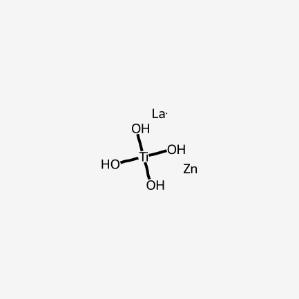 [La].[OH][Ti]([OH])([OH])[OH].[Zn]